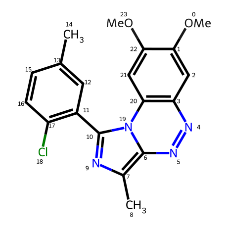 COc1cc2nnc3c(C)nc(-c4cc(C)ccc4Cl)n3c2cc1OC